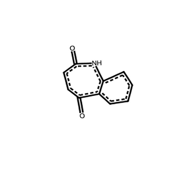 O=c1ccc(=O)c2ccccc2[nH]1